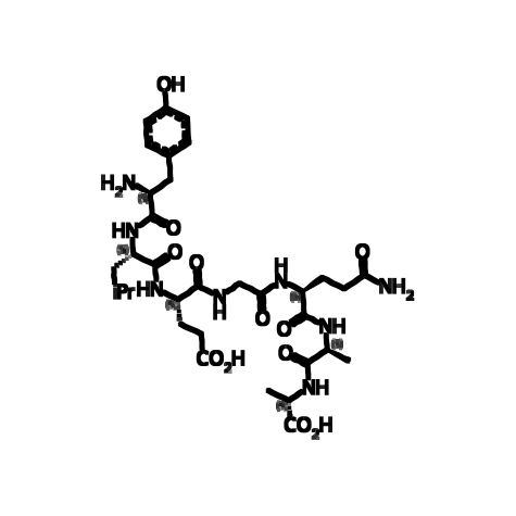 CC(C)C[C@H](NC(=O)[C@@H](N)Cc1ccc(O)cc1)C(=O)N[C@@H](CCC(=O)O)C(=O)NCC(=O)N[C@@H](CCC(N)=O)C(=O)N[C@@H](C)C(=O)N[C@@H](C)C(=O)O